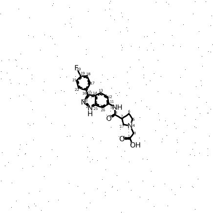 O=C(O)CN1CCC(C(=O)Nc2ccc3c(-c4ccc(F)cc4)n[nH]c3c2)C1